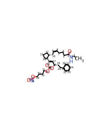 CCNC(=O)CCC/C=C\C[C@H]1CCC[C@@H]1/C=C/[C@H](CCc1ccccc1)OC(=O)OCCCCON=O